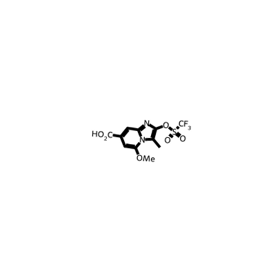 COc1cc(C(=O)O)cc2nc(OS(=O)(=O)C(F)(F)F)c(C)n12